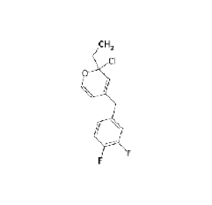 CCC1(Cl)C=C(Cc2ccc(F)c(F)c2)C=CO1